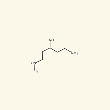 CCCNCCC(CCNC)N=O